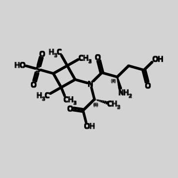 C[C@H](C(=O)O)N(C(=O)[C@H](N)CC(=O)O)C1C(C)(C)C(S(=O)(=O)O)C1(C)C